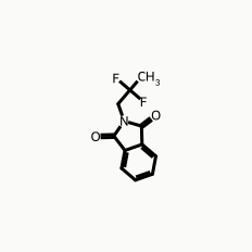 CC(F)(F)CN1C(=O)c2ccccc2C1=O